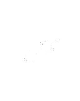 CN1CC=C(c2cnc(Cl)cn2)CC1